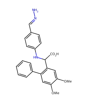 COc1cc(-c2ccccc2)c(C(Nc2ccc(C=NN)cc2)C(=O)O)cc1OC